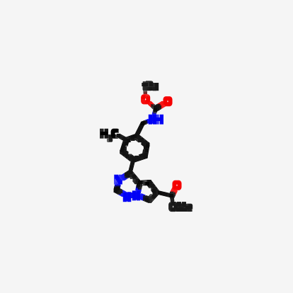 COC(=O)c1cc2c(-c3ccc(CNC(=O)OC(C)(C)C)c(C)c3)ncnn2c1